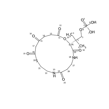 CC(C)(COP(=O)(O)O)[C@H]1OC(=O)CCC(=O)CC(=O)SCCNC(=O)CCNC1=O